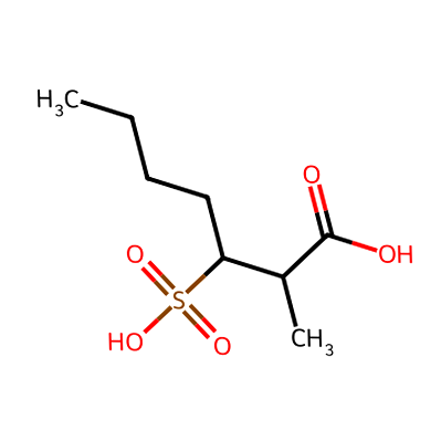 CCCCC(C(C)C(=O)O)S(=O)(=O)O